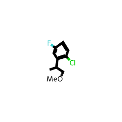 COC[C](C)c1cc(F)ccc1Cl